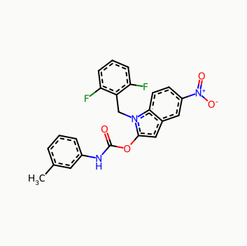 Cc1cccc(NC(=O)Oc2cc3cc([N+](=O)[O-])ccc3n2Cc2c(F)cccc2F)c1